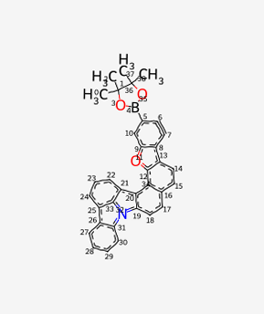 CC1(C)OB(c2c#cc3c(c2)oc2c3ccc3ccc4c(c5cccc6c7ccccc7n4c65)c32)OC1(C)C